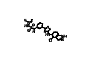 O=S(=O)(Nc1cccc(-c2nsc(Nc3ccc4[nH]ncc4c3Cl)n2)c1)NN(F)F